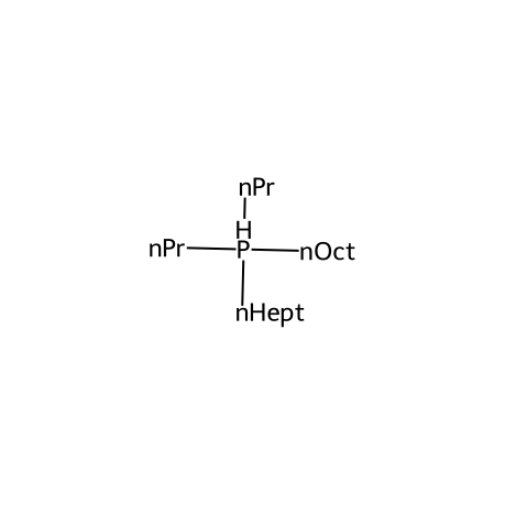 CCCCCCCC[PH](CCC)(CCC)CCCCCCC